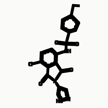 CCc1ccc(S(=O)(=O)Nc2ccc(Cl)c3c2C(=O)N(c2cn[nH]c2)C3=O)cc1